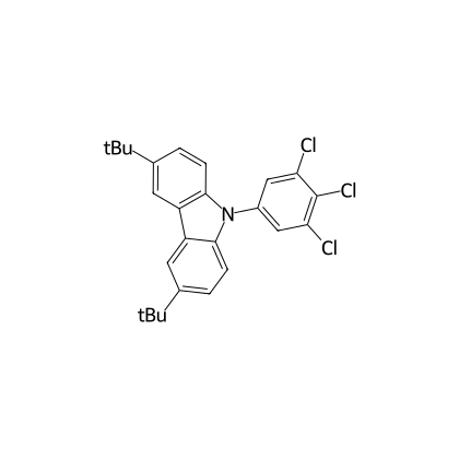 CC(C)(C)c1ccc2c(c1)c1cc(C(C)(C)C)ccc1n2-c1cc(Cl)c(Cl)c(Cl)c1